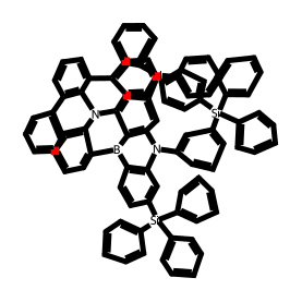 c1ccc(-c2cccc(-c3ccccc3)c2N2c3ccccc3B3c4ccc([Si](c5ccccc5)(c5ccccc5)c5ccccc5)cc4N(c4cccc([Si](c5ccccc5)(c5ccccc5)c5ccccc5)c4)c4cc(N(c5ccccc5)c5ccccc5)cc2c43)cc1